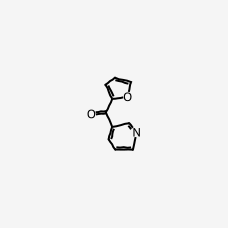 O=C(c1cccnc1)c1ccco1